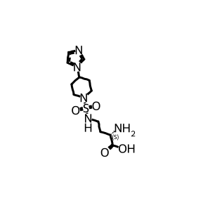 N[C@@H](CCNS(=O)(=O)N1CCC(n2ccnc2)CC1)C(=O)O